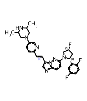 CC1CN(c2ccc(/C=C/c3cnc4ccc(N5C[C@@H](F)C[C@@H]5c5cc(F)ccc5F)nn34)nc2)CC(C)N1